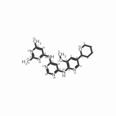 COc1cc(C2CCCCO2)cnc1Nc1cc(Nc2cc(C)nc(C)n2)ncn1